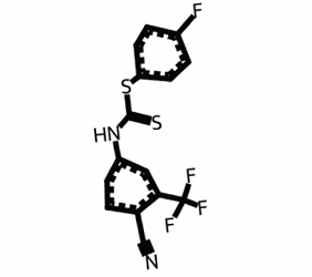 N#Cc1ccc(NC(=S)Sc2ccc(F)cc2)cc1C(F)(F)F